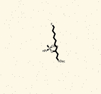 CCCCCCCCCCCCC(CCCCCCCF)O[Si](C)(CCC)OC